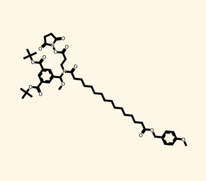 COc1ccc(COC(=O)CCCCCCCCCCCCCCC(=O)N(CCC(=O)ON2C(=O)CCC2=O)C(OC)c2cc(C(=O)OC(C)(C)C)cc(C(=O)OC(C)(C)C)c2)cc1